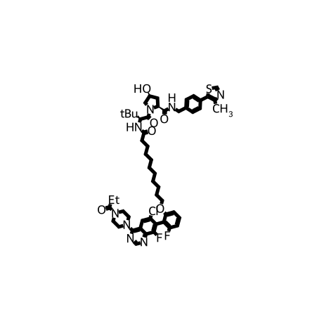 CCC(=O)N1CCN(c2ncnc3c(F)c(-c4c(F)cccc4OCCCCCCCCCCC(=O)N[C@H](C(=O)N4C[C@H](O)C[C@H]4C(=O)NCc4ccc(-c5scnc5C)cc4)C(C)(C)C)c(Cl)cc23)CC1